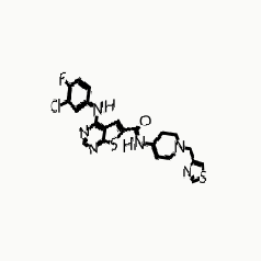 O=C(NC1CCN(Cc2cscn2)CC1)c1cc2c(Nc3ccc(F)c(Cl)c3)ncnc2s1